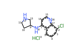 Cl.Clc1cccc2c(NC3CCNC3)ccnc12